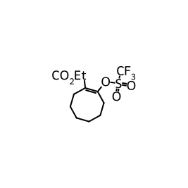 CCOC(=O)C1=C(OS(=O)(=O)C(F)(F)F)CCCCCC1